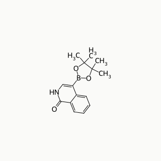 CC1(C)OB(c2c[nH]c(=O)c3ccccc23)OC1(C)C